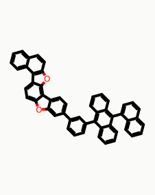 c1cc(-c2ccc3c(c2)oc2ccc4c(oc5ccc6ccccc6c54)c23)cc(-c2c3ccccc3c(-c3cccc4ccccc34)c3ccccc23)c1